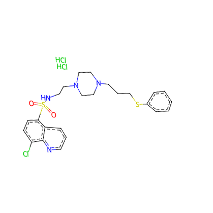 Cl.Cl.O=S(=O)(NCCN1CCN(CCCSc2ccccc2)CC1)c1ccc(Cl)c2ncccc12